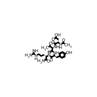 CC(=O)N[C@@H](CC(=O)O)C(=O)N[C@H](C(=O)N[C@@H](Cc1ccc(O)cc1)C(=O)N[C@@H](CCCNC(=N)N)C(N)=O)C(C)C